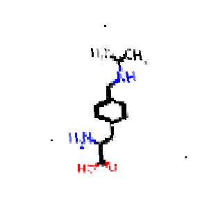 CC(C)NCc1ccc(C[C@H](N)C(=O)O)cc1